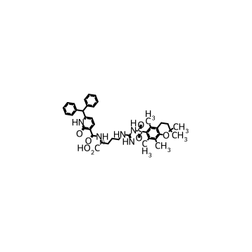 Cc1c(C)c(S(=O)(=O)NC(=N)NCCC[C@@H](NC(=O)c2ccc(C(c3ccccc3)c3ccccc3)[nH]c2=O)C(=O)O)c(C)c2c1OC(C)(C)CC2